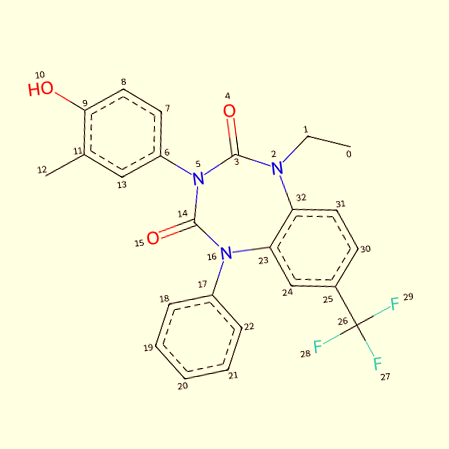 CCN1C(=O)N(c2ccc(O)c(C)c2)C(=O)N(c2ccccc2)c2cc(C(F)(F)F)ccc21